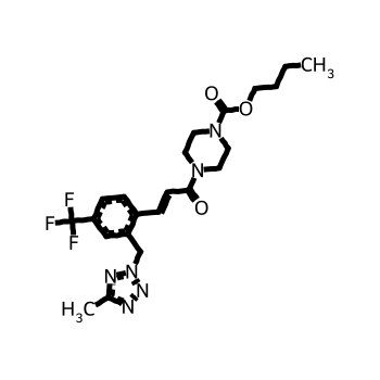 CCCCOC(=O)N1CCN(C(=O)C=Cc2ccc(C(F)(F)F)cc2Cn2nnc(C)n2)CC1